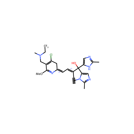 C#C/C(=C\C=C1/CC(Cl)=C(CN(C)CC(F)(F)F)C(OC)=N1)C(O)(c1cnc(C)[nH]1)c1cnc(C)n1C